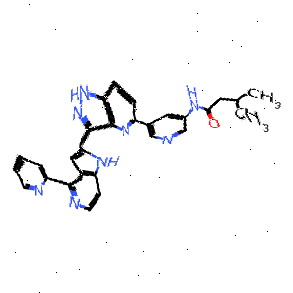 CC(C)CC(=O)Nc1cncc(-c2ccc3[nH]nc(-c4cc5c(-c6ccccn6)nccc5[nH]4)c3n2)c1